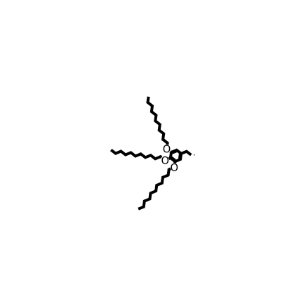 [CH2]Cc1cc(OCCCCCCCCCCC)c(OCCCCCCCCCCC)c(OCCCCCCCCCCC)c1